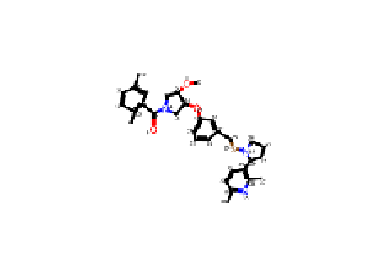 COC1CN(C(=O)c2cc(C)ccc2C)CC1Oc1cccc(CSN2CCCC2c2ccc(C)nc2C)c1